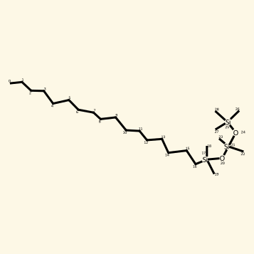 CCCCCCCCCCCCCCCCC[Si](C)(C)O[Si](C)(C)O[Si](C)(C)C